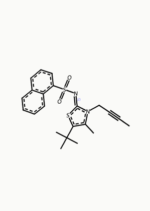 CC#CCn1c(C)c(C(C)(C)C)s/c1=N\S(=O)(=O)c1cccc2ccccc12